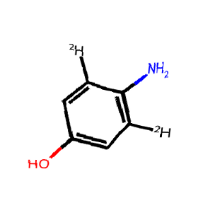 [2H]c1cc(O)cc([2H])c1N